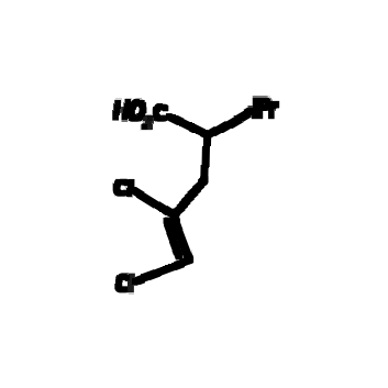 CC(C)C(CC(Cl)=CCl)C(=O)O